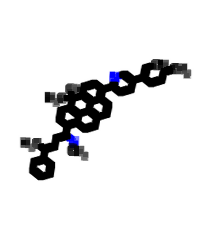 C=C/C=C\C(=C/C)c1ccc(-c2ccc3c4c2ccc2ccc5c(/C(=C/C=C(\C)c6ccccc6)N=C)ccc(c5c24)C3(C)C)nc1